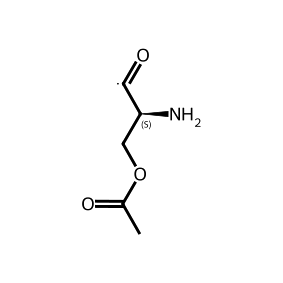 CC(=O)OC[C@H](N)[C]=O